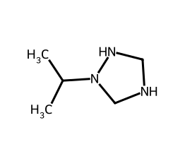 CC(C)N1CNCN1